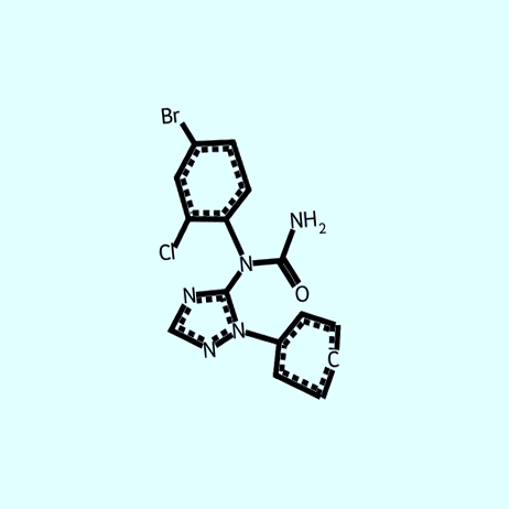 NC(=O)N(c1ccc(Br)cc1Cl)c1ncnn1-c1ccccc1